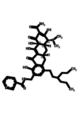 CCCC(CCC)CCc1cc(CNC(=O)c2cccnc2)c(O)c2c1C[C@H]1C[C@H]3[C@H](N(C)C)C(O)=C(C(N)=O)C(=O)[C@@]3(O)C(O)=C1C2=O